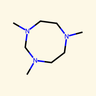 CN1CCN(C)CN(C)CC1